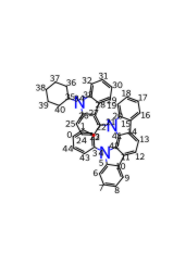 c1ccc(-n2c3ccccc3c3ccc4c5ccccc5n(-c5cccc6c5c5ccccc5n6C5CCCCC5)c4c32)cc1